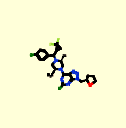 CC[C@@H]1CN(c2nc(Cl)nc3c2nnn3C[C@H]2CCCO2)[C@@H](C)CN1[C@@H](c1ccc(Cl)cc1)[C@@H]1CC1(F)F